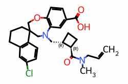 C=CCN(C)C(=O)[C@@H]1CC[C@H]1CN1CC2(CCCc3cc(Cl)ccc32)COc2ccc(C(=O)O)cc21